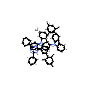 Cc1cc(C)c(-c2ccc3c(c2)c2ccccc2n3-c2cc(C#N)cc3c2-c2cc(-c4nc(-c5ccccc5)nc(-c5ccccc5)n4)ccc2-n2c4ccccc4c4cc(ccc42)-c2c(C)cc(C)cc2-3)c(C)c1